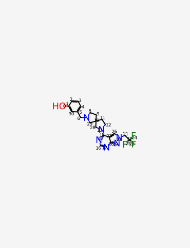 Oc1cccc(CN2CCC3(CCN(c4ncnc5nn(CC(F)(F)F)cc45)C3)C2)c1